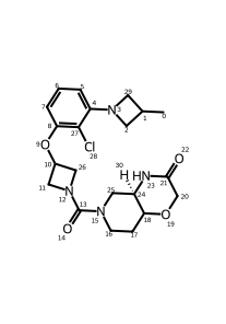 CC1CN(c2cccc(OC3CN(C(=O)N4CCC5OCC(=O)N[C@@H]5C4)C3)c2Cl)C1